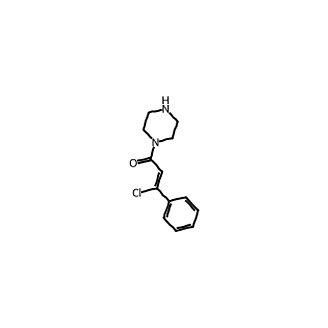 O=C(C=C(Cl)c1ccccc1)N1CCNCC1